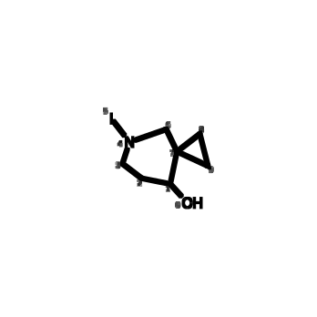 OC1CCN(I)CC12CC2